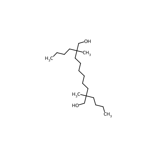 CCCCC(C)(CO)CCCCCCC(C)(CO)CCCC